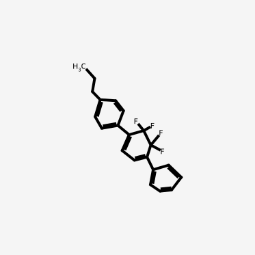 CCCc1ccc(C2=CC=C(c3ccccc3)C(F)(F)C2(F)F)cc1